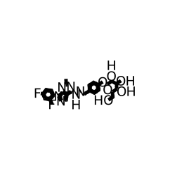 Cc1nc(NN=Cc2ccc(OC3OC(CO)C(O)C(O)C3O)cc2)c2cnn(-c3ccc(F)cc3F)c2n1